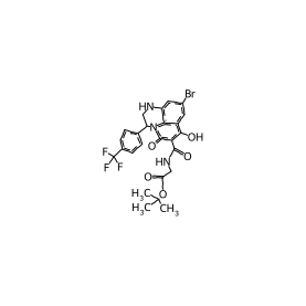 CC(C)(C)OC(=O)CNC(=O)c1c(O)c2cc(Br)cc3c2n(c1=O)C(c1ccc(C(F)(F)F)cc1)CN3